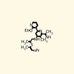 C=C(CNc1cc(-c2cccnc2OCC)nc(C(C)=N)c1C)S/C(C)=C\CCC